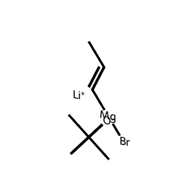 CC(C)(C)[O-].CC=[CH][Mg][Br].[Li+]